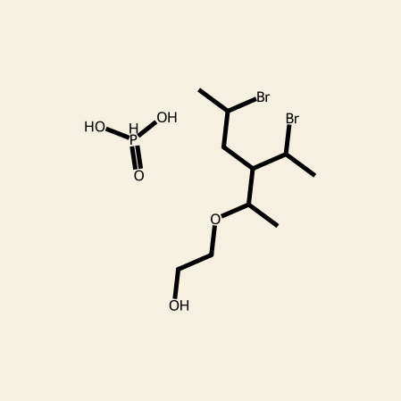 CC(Br)CC(C(C)Br)C(C)OCCO.O=[PH](O)O